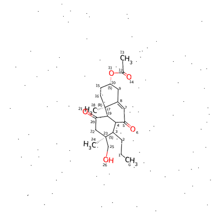 CCCC1C2C(=O)C=C3C[C@@H](OC(C)=O)CC[C@]3(C)C2C(=O)C[C@]1(C)CO